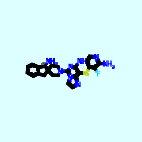 Nc1nccc(Sc2c(N)nc(N3CCC4(CC3)Cc3ccccc3[C@H]4N)n3ccnc23)c1F